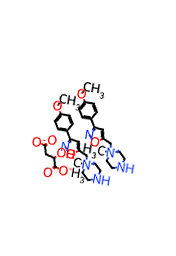 COc1ccc(-c2cc(C[N+]3(C)CCNCC3)on2)cc1.COc1ccc(-c2cc(C[N+]3(C)CCNCC3)on2)cc1.O=C([O-])CC(O)C(=O)[O-]